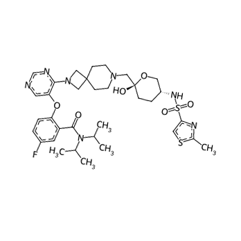 Cc1nc(S(=O)(=O)N[C@@H]2CC[C@](O)(CN3CCC4(CC3)CN(c3ncncc3Oc3ccc(F)cc3C(=O)N(C(C)C)C(C)C)C4)OC2)cs1